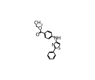 CCOC(=O)c1ccc(Nc2csc(-c3ccccc3)n2)cc1